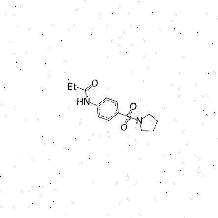 CCC(=O)Nc1ccc(S(=O)(=O)N2CCCC2)cc1